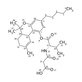 CCCCCc1cc(OC(=O)[C@@H](NC(=O)CC(=O)O)C(C)C)c2c(c1)OC(C)(C)C1CCC(C)=CC21